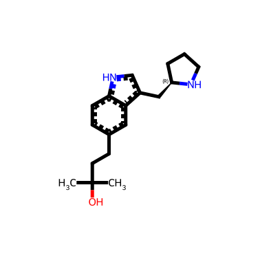 CC(C)(O)CCc1ccc2[nH]cc(C[C@H]3CCCN3)c2c1